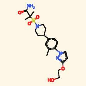 Cc1cc(C2CCN(S(=O)(=O)C(C)(C)C(N)=O)CC2)ccc1-n1ccc(OCCO)n1